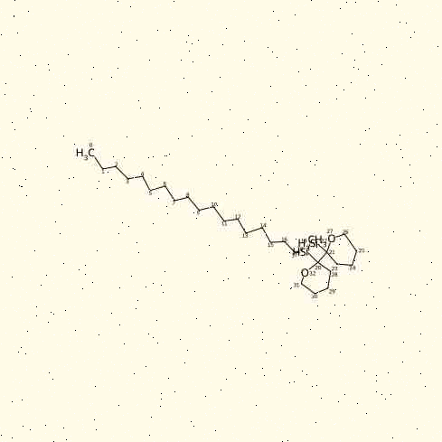 CCCCCCCCCCCCCCCCCC[SiH](C)C1(C2([SiH3])CCCCO2)CCCCO1